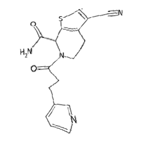 N#Cc1[c]sc2c1CCN(C(=O)CCc1cccnc1)C2C(N)=O